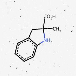 CC1(C(=O)O)Cc2ccccc2N1